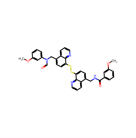 COc1cccc(C(=O)NCc2ccc(SSc3ccc(CN(C=O)c4cccc(OC)c4)c4cccnc34)c3ncccc23)c1